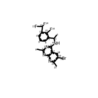 Cc1nc(NC(C)c2cccc(C(F)F)c2F)c2cc(Br)c(C)nc2n1